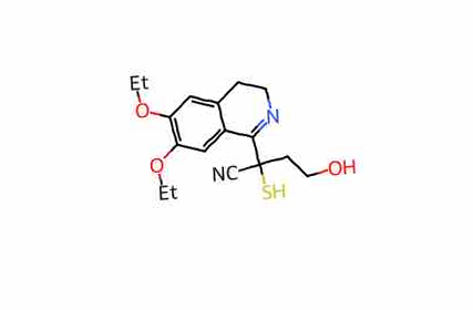 CCOc1cc2c(cc1OCC)C(C(S)(C#N)CCO)=NCC2